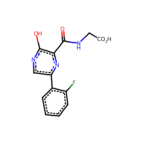 O=C(O)CNC(=O)c1nc(-c2ccccc2F)cnc1O